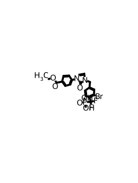 CCOC(=O)c1ccc(-n2ccn(Cc3ccc(C(F)(F)P(=O)(O)O)c(Br)c3)c2=O)cc1